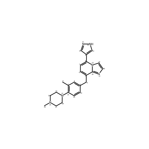 Cc1cc(Cc2ccc(-c3cn[nH]c3)n3ccnc23)ccc1N1CCN(C)CC1